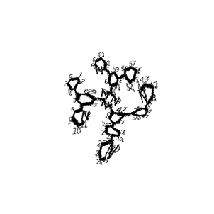 c1ccc(-c2cc(-c3ccccn3)cc(-c3nc(-c4cc(-c5ccc(-c6ccccn6)cc5)cc(-c5cccc(-c6ccccn6)c5)c4)nc(-c4cc(-c5ccccc5)cc(-c5ccccn5)c4)n3)c2)cc1